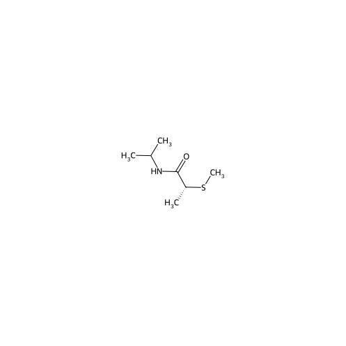 CS[C@H](C)C(=O)NC(C)C